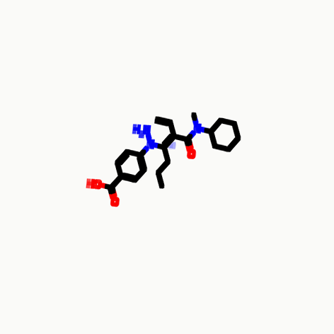 C=C/C(C(=O)N(C)C1CCCCC1)=C(/CCC)N(N)c1ccc(C(=O)O)cc1